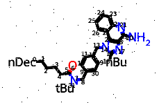 CCCCCCCCCCCCCCC(=O)N(Cc1ccc(Cn2c(CCCC)nc3c(N)nc4ccccc4c32)cc1)C(C)(C)C